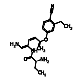 C=C(/C=C\C(=C/N)NC(=O)[C@H](N)CC)Oc1ccc(C#N)c(CC)c1